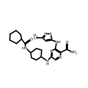 Cc1cc(Nc2nc(NC3CCC(NC(=O)C4CCCCC4)CC3)cnc2C(N)=O)sn1